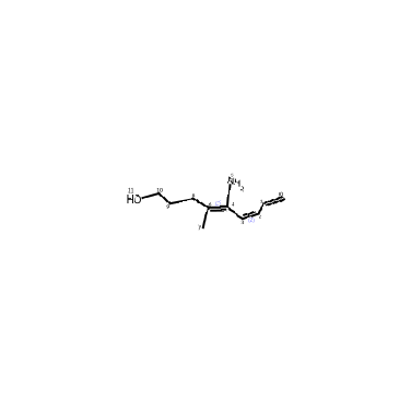 C=C/C=C\C(N)=C(/C)CCCO